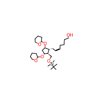 CC(C)(C)[Si](C)(C)OC[C@@H]1[C@@H](C/C=C\CCCCO)[C@H](OC2CCCCO2)C[C@H]1OC1CCCCO1